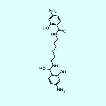 Nc1ccc(C(=O)NCCSSCCNC(O)c2ccc(N)cc2O)c(O)c1